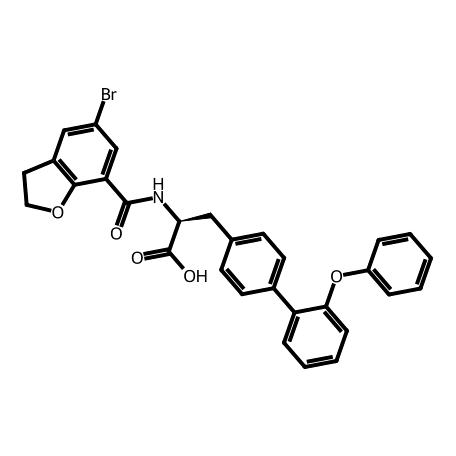 O=C(N[C@@H](Cc1ccc(-c2ccccc2Oc2ccccc2)cc1)C(=O)O)c1cc(Br)cc2c1OCC2